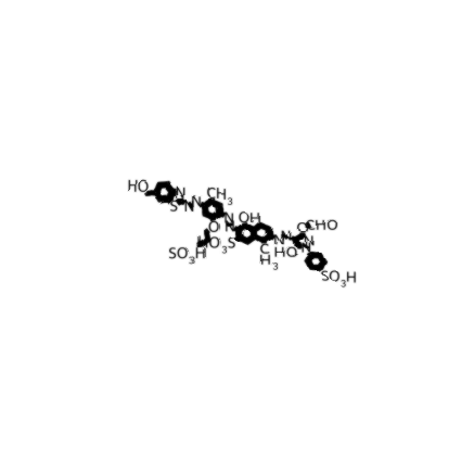 Cc1cc(N=Nc2c(S(=O)(=O)O)cc3c(C)c(N=Nc4c(OC=O)nn(-c5ccc(S(=O)(=O)O)cc5)c4O)ccc3c2O)c(OCCCS(=O)(=O)O)cc1N=Nc1nc2ccc(CO)cc2s1